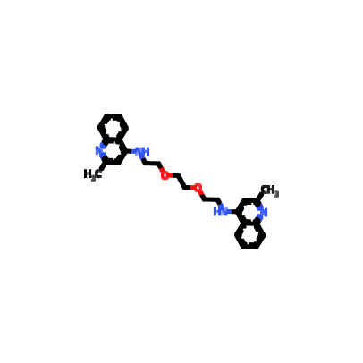 Cc1cc(NCCOCCOCCNc2cc(C)nc3ccccc23)c2ccccc2n1